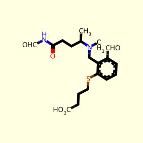 CC(CCC(=O)NC=O)N(C)Cc1c(C=O)cccc1SCCCC(=O)O